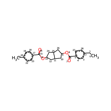 CCc1ccc(C(=O)OC2CC3CC(OC(=O)c4ccc(C)cc4)CC3C2)cc1